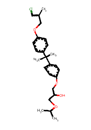 CC(CCl)COc1ccc(C(C)(C)c2ccc(OCC(O)COC(C)C)cc2)cc1